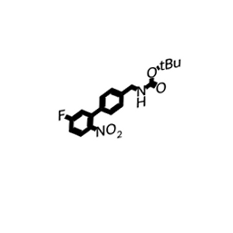 CC(C)(C)OC(=O)NCc1ccc(-c2cc(F)ccc2[N+](=O)[O-])cc1